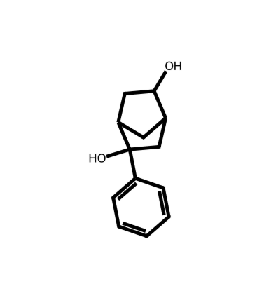 OC1CC2CC1CC2(O)c1ccccc1